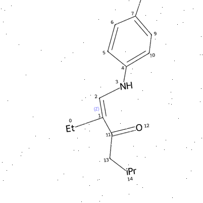 CC/C(=C/Nc1ccc(C(C)=O)cc1)C(=O)CC(C)C